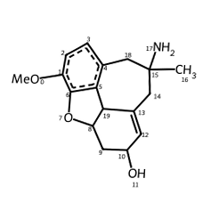 COc1ccc2c3c1OC1CC(O)C=C(CC(C)(N)C2)C31